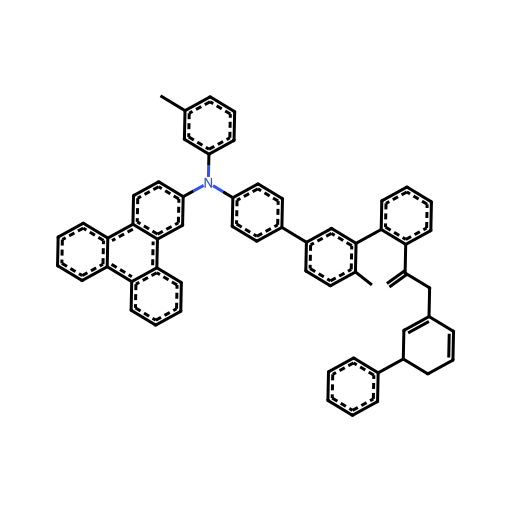 C=C(CC1=CC(c2ccccc2)CC=C1)c1ccccc1-c1cc(-c2ccc(N(c3cccc(C)c3)c3ccc4c5ccccc5c5ccccc5c4c3)cc2)ccc1C